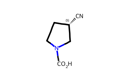 N#C[C@H]1CCN(C(=O)O)C1